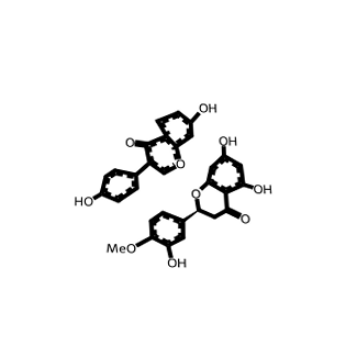 COc1ccc([C@@H]2CC(=O)c3c(O)cc(O)cc3O2)cc1O.O=c1c(-c2ccc(O)cc2)coc2cc(O)ccc12